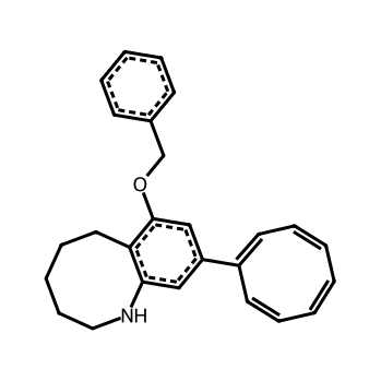 C1=C\C=C/C(c2cc3c(c(OCc4ccccc4)c2)CCCCCN3)=C\C=C/1